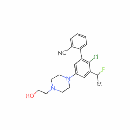 CCC(F)c1cc(N2CCN(CCO)CC2)cc(-c2ccccc2C#N)c1Cl